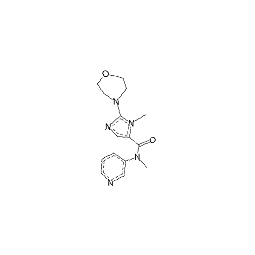 CN(C(=O)c1cnc(N2CCOCC2)n1C)c1cccnc1